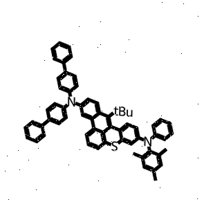 Cc1cc(C)c(N(c2ccccc2)c2ccc3c(c2)Sc2cccc4c2c-3c(C(C)(C)C)c2ccc(N(c3ccc(-c5ccccc5)cc3)c3ccc(-c5ccccc5)cc3)cc24)c(C)c1